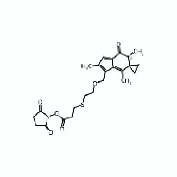 CC1=C(COCCSCCC(=O)ON2C(=O)CCC2=O)C2=C(C)C3(CC3)[C@H](C)C(=O)C2=C1